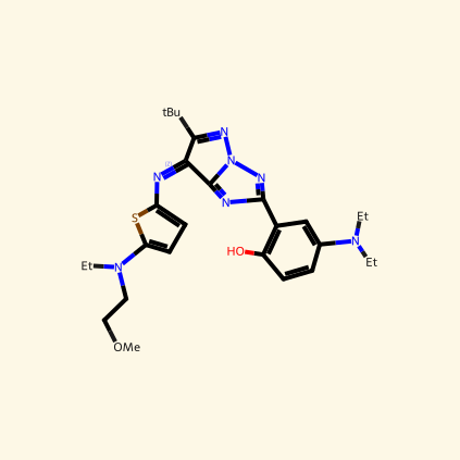 CCN(CC)c1ccc(O)c(-c2nc3n(n2)N=C(C(C)(C)C)/C3=N/c2ccc(N(CC)CCOC)s2)c1